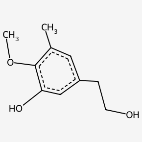 COc1c(C)cc(CCO)cc1O